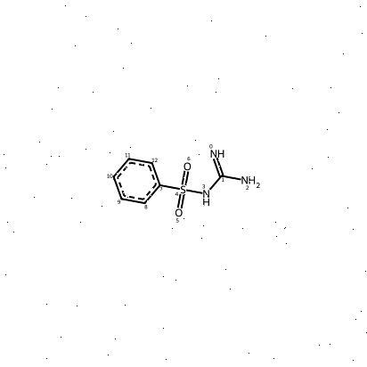 N=C(N)NS(=O)(=O)c1cc[c]cc1